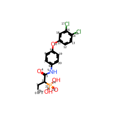 CC(C)CC(C(=O)Nc1ccc(Oc2ccc(Cl)c(Cl)c2)cc1)P(=O)(O)O